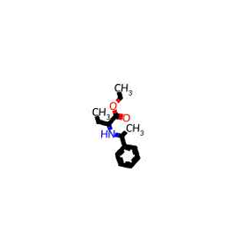 CCOC(=O)C(CC)NC(C)c1ccccc1